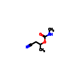 CNC(=O)OC(C)CC#N